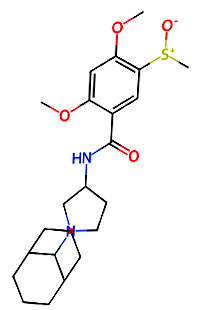 COc1cc(OC)c([S+](C)[O-])cc1C(=O)NC1CCN(C2C3CCCC2CCC3)C1